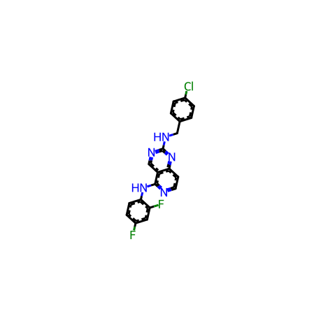 Fc1ccc(Nc2nccc3nc(NCc4ccc(Cl)cc4)ncc23)c(F)c1